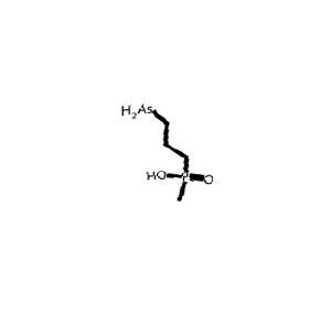 CP(=O)(O)CCC[AsH2]